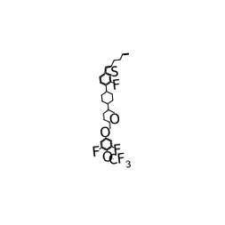 C=CCCc1cc2ccc(C3CCC(C4CCC(COc5cc(F)c(OC(F)(F)F)c(F)c5)OC4)CC3)c(F)c2s1